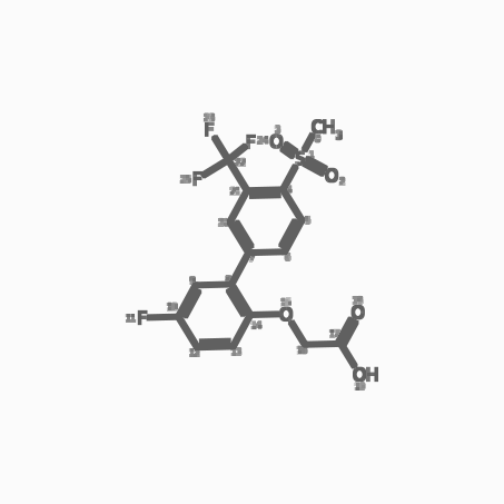 CS(=O)(=O)c1ccc(-c2cc(F)ccc2OCC(=O)O)cc1C(F)(F)F